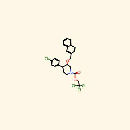 O=C(OCC(Cl)(Cl)Cl)N1CCC(c2ccc(Cl)cc2)C(OCc2ccc3ccccc3c2)C1